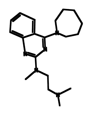 CN(C)CCN(C)c1nc(N2CCCCCC2)c2ccccc2n1